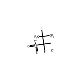 O=S(=O)([O-])C(F)(F)C(F)(C(F)(F)F)C(F)(F)F.[K+]